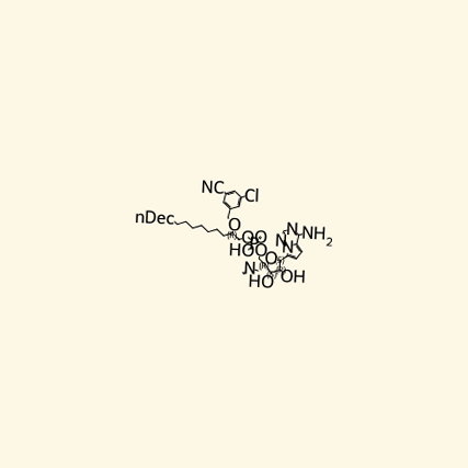 C=NC[C@]1(COP(=O)(O)OC[C@@H](CCCCCCCCCCCCCCCCC)OCc2cc(Cl)cc(C#N)c2)O[C@@H](c2ccc3c(N)ncnn23)[C@H](O)[C@@H]1O